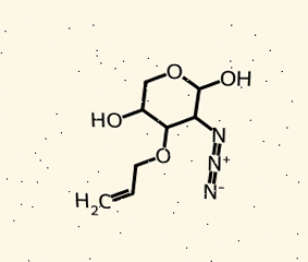 C=CCOC1C(O)COC(O)C1N=[N+]=[N-]